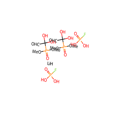 COP(=O)(OC)C(O)(O)C=O.COP(=O)(OC)C(O)(O)C=O.O=P(O)(O)F.O=P(O)(O)F.[LiH]